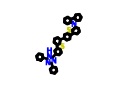 c1ccc(C2=NC(c3ccc4sc5c(-c6ccc7c(c6)sc6c(-n8c9ccccc9c9ccccc98)cccc67)cccc5c4c3)NC(c3ccccc3)=N2)cc1